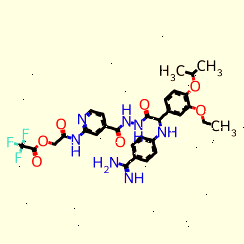 CCOc1cc(C(Nc2ccc(C(=N)N)cc2)C(=O)NNC(=O)c2ccnc(NC(=O)COC(=O)C(F)(F)F)c2)ccc1OC(C)C